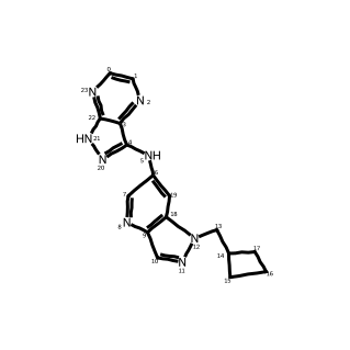 c1cnc2c(Nc3cnc4cnn(CC5CCC5)c4c3)n[nH]c2n1